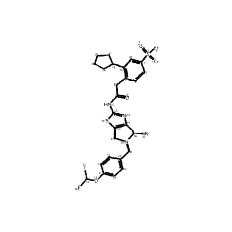 CCS(=O)(=O)c1ccc(CC(=O)Nc2nc3c(s2)CN(Cc2ccc(OC(F)F)cc2)[C@@H]3C(C)C)c(C2CCCC2)c1